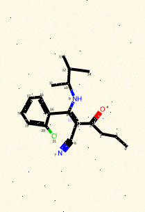 CCCC(=O)/C(C#N)=C(\NC(C)C(C)C)c1ccccc1Cl